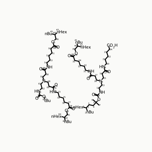 CCCCCCC(CCCC)CCC(C)(C)OC(=O)NCCN(CCC(=O)NCCCCCC(=O)O)CCC(=O)NCCCCCC(=O)OCC(CCCC)CCCCCC.CCCCCCC(CCCC)COC(=O)CCCCCNC(=O)CCN(CCNC(=O)OC(C)(C)C)CCC(=O)NCCCCCC(=O)OCC(CCCC)CCCCCC